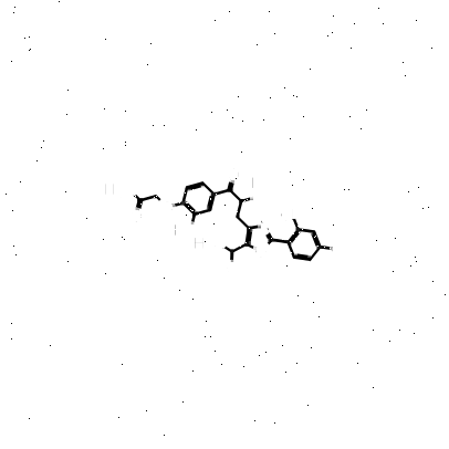 CC(=O)COc1ccc(C(=O)C(C)Cc2nc(-c3ccc(Cl)cc3Cl)oc2C(C)C)cc1C